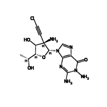 C[C@@H](O)[C@H]1O[C@@H](n2cnc3c(=O)n(N)c(N)nc32)[C@@](N)(C#CCl)C1O